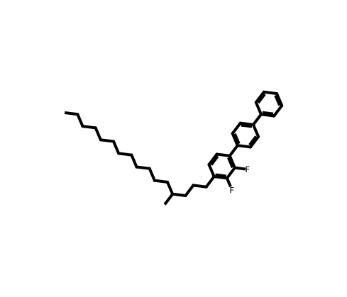 CCCCCCCCCCCCC(C)CCCc1ccc(-c2ccc(-c3ccccc3)cc2)c(F)c1F